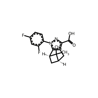 CC1(C)[C@H]2Cc3c(C(=O)O)nn(-c4ccc(F)cc4F)c3[C@@H]1C2